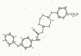 O=C(CN1CCCN(Cc2ccc(C(=O)O)cc2)CC1)Nc1ccc(Cc2ccccc2)cc1